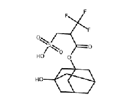 O=C(OC12CC3CC(CC(O)(C3)C1)C2)C(CS(=O)(=O)O)C(F)(F)F